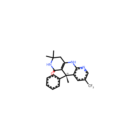 CC1(C)CC2=C(C(=O)N1)[C@@](C)(c1ccccc1)c1cc(C(F)(F)F)cnc1N2